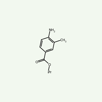 Cc1cc(C(=O)OC(C)C)ccc1N